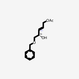 CC(=O)OC/C=C/[C@H](O)COCc1ccccc1